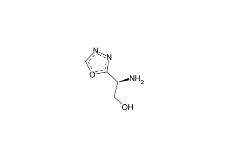 N[C@@H](CO)c1nnco1